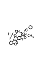 CCC(C)N1CN(c2c(F)cccc2Cl)C(=O)c2cc(F)c(-n3nc(COCc4ccccc4)n(CC)c3=O)cc21